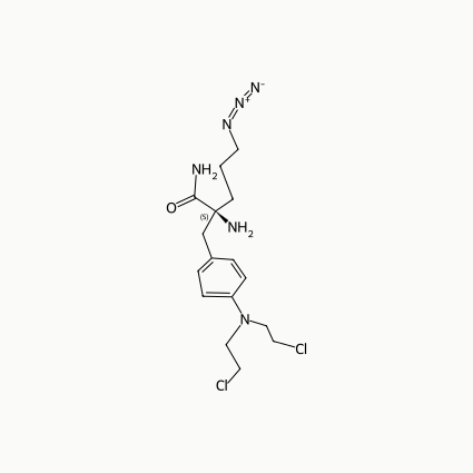 [N-]=[N+]=NCCC[C@](N)(Cc1ccc(N(CCCl)CCCl)cc1)C(N)=O